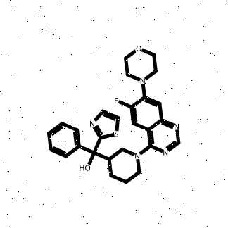 OC(c1ccccc1)(c1nccs1)C1CCCN(c2ncnc3cc(N4CCOCC4)c(F)cc23)C1